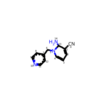 N#CC1=CC=CN(Cc2ccncc2)C1N